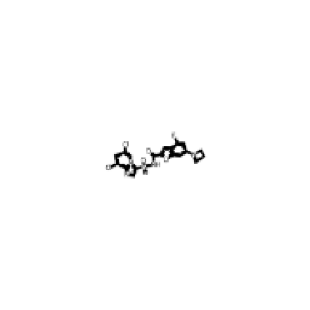 O=C(NS(=O)(=O)c1cnc2c(Cl)cc(Cl)cn12)c1cc2c(F)cc(N3CCC3)cc2o1